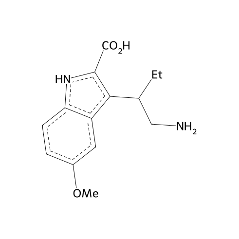 CCC(CN)c1c(C(=O)O)[nH]c2ccc(OC)cc12